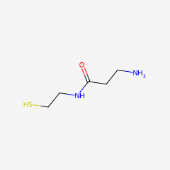 NCCC(=O)NCCS